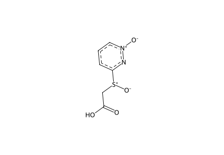 O=C(O)C[S+]([O-])c1ccc[n+]([O-])n1